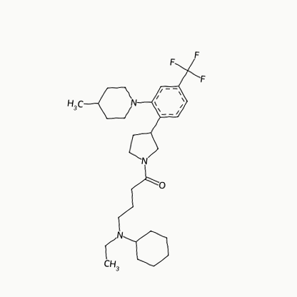 CCN(CCCC(=O)N1CCC(c2ccc(C(F)(F)F)cc2N2CCC(C)CC2)C1)C1CCCCC1